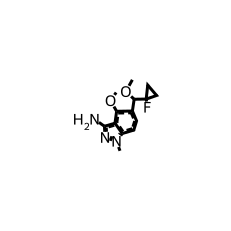 COc1c(C(OC)C2(F)CC2)ccc2c1c(N)nn2C